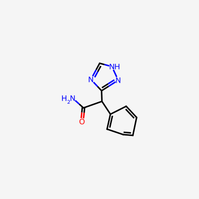 NC(=O)C(c1ccccc1)c1nc[nH]n1